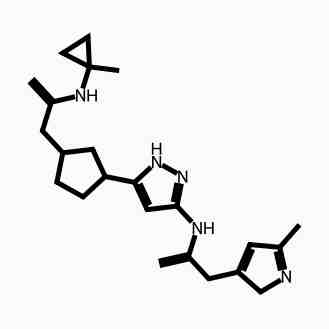 C=C(CC1=CC(C)=NC1)Nc1cc(C2CCC(CC(=C)NC3(C)CC3)C2)[nH]n1